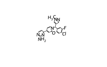 Cn1cc(C(c2ccc(Cl)c(F)c2)n2ccc(-c3ccnc(N)n3)cc2=O)cn1